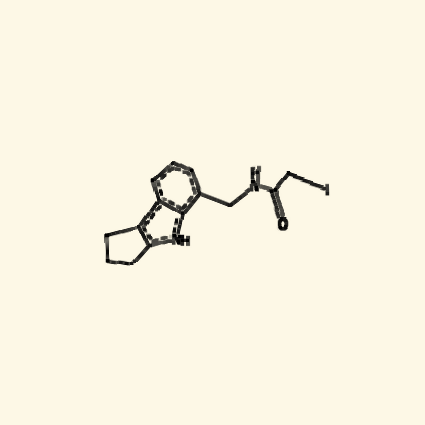 O=C(CI)NCc1cccc2c3c([nH]c12)CCC3